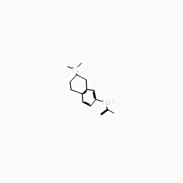 CC(=O)Nc1ccc2c(c1)CC(N(C)C)CC2